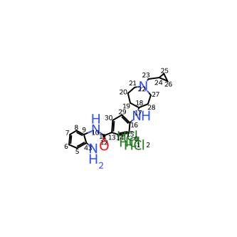 Cl.Cl.Cl.Nc1ccccc1NC(=O)c1ccc(NC2CCCN(CC3CC3)CC2)cc1